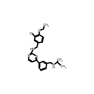 CCOc1ccc(CNc2nccc(-c3cccc(CNC(C)C)c3)n2)cc1Cl